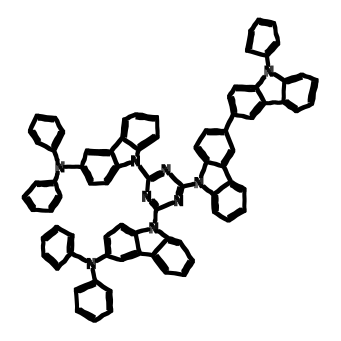 c1ccc(N(c2ccccc2)c2ccc3c(c2)c2ccccc2n3-c2nc(-n3c4ccccc4c4cc(-c5ccc6c(c5)c5ccccc5n6-c5ccccc5)ccc43)nc(-n3c4ccccc4c4cc(N(c5ccccc5)c5ccccc5)ccc43)n2)cc1